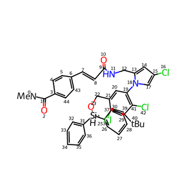 CNC(=O)c1ccc(C=CC(=O)NCc2cc(Cl)cn2-c2cc(CO[SiH](c3ccccc3)c3ccccc3)c(Cl)c(C(C)(C)C)c2Cl)cc1